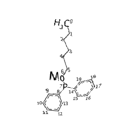 CCCCC[CH2][Mo][P](c1ccccc1)c1ccccc1